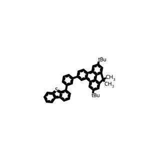 CC(C)(C)c1cc2c3c(c1)c1ccc(-c4cccc(-c5cccc6c5sc5ccccc56)c4)cc1c1cc(C(C)(C)C)cc(c13)C2(C)C